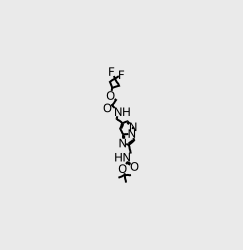 CC(C)(C)OC(=O)NCc1cn2ncc(CNC(=O)COC3CC(F)(F)C3)cc2n1